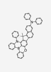 CC1(C)c2c(cc3c4c2N(c2ccccc2)c2ccccc2B4c2ccccc2O3)-c2ccc3cc(N(c4ccccc4)c4ccccc4)ccc3c21